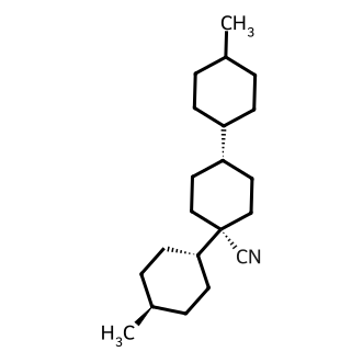 CC1CCC([C@H]2CC[C@](C#N)([C@H]3CC[C@H](C)CC3)CC2)CC1